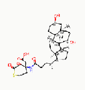 C[C@H](CCC(=O)NC1(CC(=O)O)CCSC(=O)C1=O)[C@H]1CC[C@H]2[C@@H]3[C@@H](O)C[C@@H]4C[C@H](O)CC[C@]4(C)[C@H]3CC[C@]12C